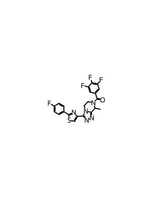 CC1c2nnc(-c3csc(-c4ccc(F)cc4)n3)n2CCN1C(=O)c1cc(F)c(F)c(F)c1